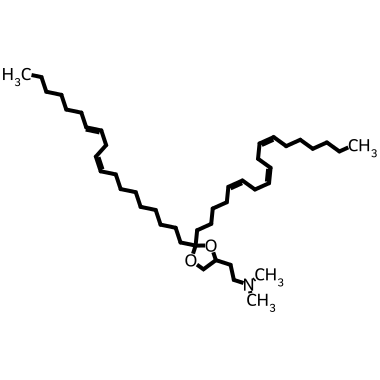 CCCCCC/C=C\C/C=C\C/C=C\CCCCC1(CCCCCCCC/C=C\C/C=C/CCCCCC)OCC(CCN(C)C)O1